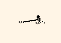 CCCCCCCCCCCCCCCCOP(=O)(Oc1ccccc1)OC(C)C